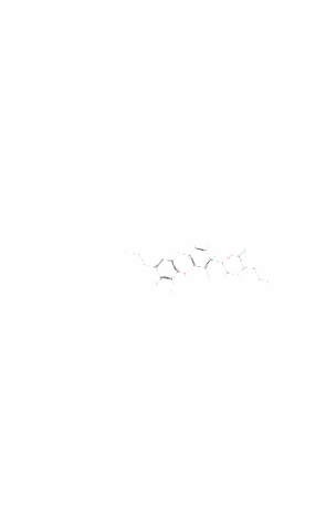 CCCc1cc2c(c(F)c1F)Oc1c(ccc(C3CCC(CCC)C(F)O3)c1F)C2